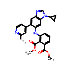 COC(=O)c1cccc(Nc2cc3c(cc2-c2ccnc(C)c2)ncn3C2CC2)c1C(=O)OC